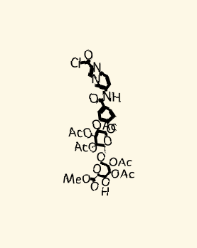 COC(=O)[C@H]1O[C@@H](OC[C@H]2OC(Oc3ccc(C(=O)Nc4ccc5nc(C(=O)Cl)cn5c4)cc3)[C@H](OC(C)=O)[C@@H](OC(C)=O)[C@H]2OC(C)=O)[C@H](OC(C)=O)[C@@H](OC(C)=O)[C@@H]1O